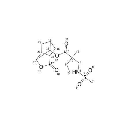 CCC(C)(CNS(C)(=O)=O)C(=O)OC1C2CC3C(=O)OC1C3C2